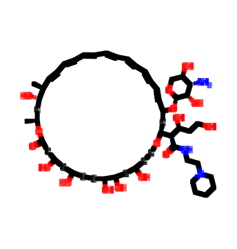 C[C@H]1C[C@H](O)[C@@H](C)/C=C/C=C/C=C/C=C/C=C/C=C/C=C/C(O[C@@H]2OC[C@@H](O)[C@H](N)[C@@H]2O)C[C@@H]([C@H](C(=O)NCCN2CCCCC2)[C@@H](O)CCO)OCCC(O)CC(O)C(O)CCC(O)CC(O)CC(=O)O1